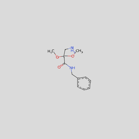 COC(CN)(OC)C(=O)NCc1ccccc1